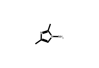 Cc1cn(N)c(C)n1